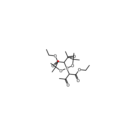 CCOC(=O)[CH](C(C)=O)[Ti]([O]C(C)(C)C)([O]C(C)(C)C)[CH](C(C)=O)C(=O)OCC